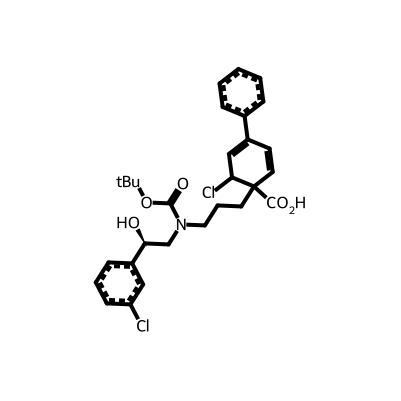 CC(C)(C)OC(=O)N(CCCC1(C(=O)O)C=CC(c2ccccc2)=CC1Cl)C[C@H](O)c1cccc(Cl)c1